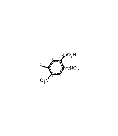 Cc1cc(S(=O)(=O)O)c([N+](=O)[O-])cc1[N+](=O)[O-]